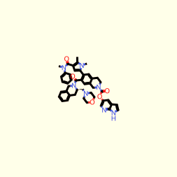 Cc1c(C(=O)N(C)c2ccccc2)cc(-c2cc3c(cc2C(=O)N2Cc4ccccc4C[C@H]2CN2CCOCC2)CN(C(=O)Oc2cnc4[nH]ccc4c2)CC3)n1C